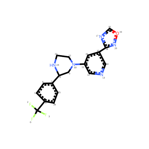 FC(F)(F)c1ccc(C2CN(c3cncc(-c4ncon4)c3)CCN2)cc1